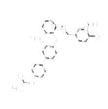 Cc1ccccc1[C@H](C/C(=N\O)c1ccc(=O)n(C)c1)c1ccc(-c2ccc(OC(=O)O)cc2)cc1